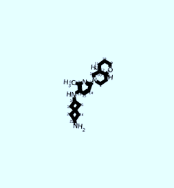 Cc1nc(N2CC[C@H]3OCCC[C@@H]3C2)ccc1NC1CC2(CC(N)C2)C1